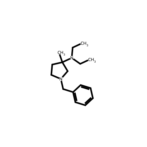 CCN(CC)C1(C)CCN(Cc2ccccc2)C1